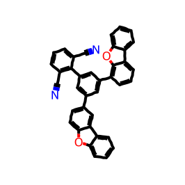 N#Cc1cccc(C#N)c1-c1cc(-c2ccc3oc4ccccc4c3c2)cc(-c2cccc3c2oc2ccccc23)c1